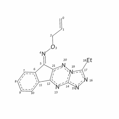 C=CCON=C1c2ccccc2-c2nc3nnc(CC)n3nc21